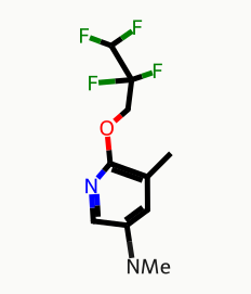 CNc1cnc(OCC(F)(F)C(F)F)c(C)c1